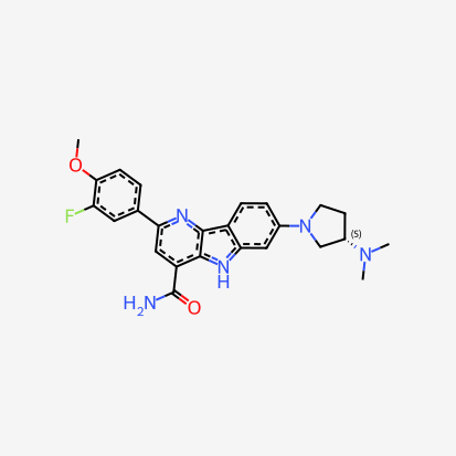 COc1ccc(-c2cc(C(N)=O)c3[nH]c4cc(N5CC[C@H](N(C)C)C5)ccc4c3n2)cc1F